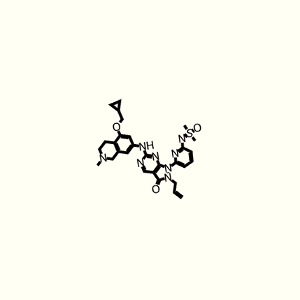 C=CCn1c(=O)c2cnc(Nc3cc4c(c(OCC5CC5)c3)CCN(C)C4)nc2n1-c1cccc(N=S(C)(C)=O)n1